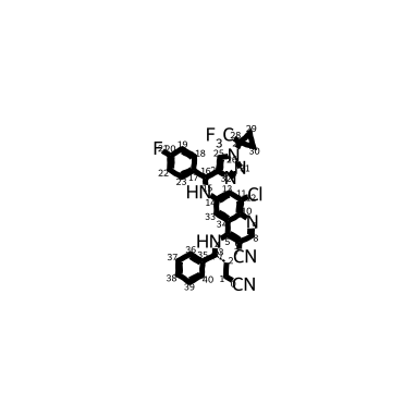 N#CCC[C@@H](Nc1c(C#N)cnc2c(Cl)cc(NC(c3ccc(F)cc3)c3cn(C4(C(F)(F)F)CC4)nn3)cc12)c1ccccc1